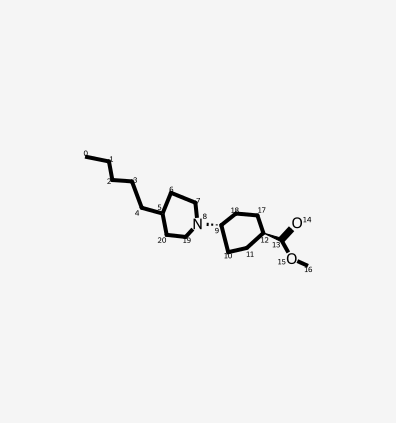 CCCCCC1CCN([C@H]2CC[C@H](C(=O)OC)CC2)CC1